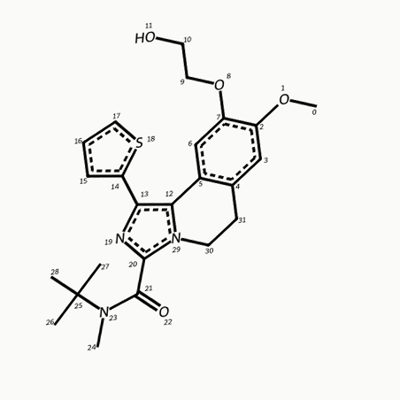 COc1cc2c(cc1OCCO)-c1c(-c3cccs3)nc(C(=O)N(C)C(C)(C)C)n1CC2